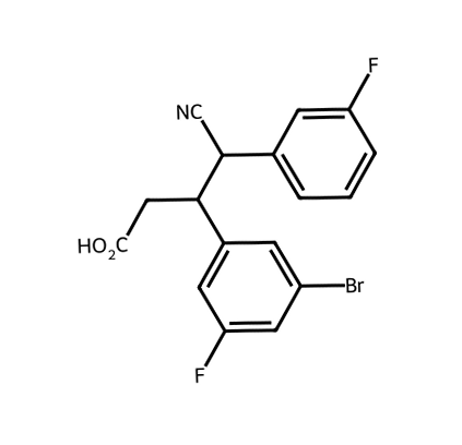 N#CC(c1cccc(F)c1)C(CC(=O)O)c1cc(F)cc(Br)c1